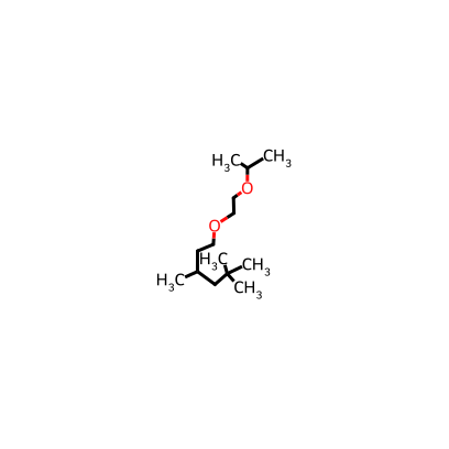 CC(CCOCCOC(C)C)CC(C)(C)C